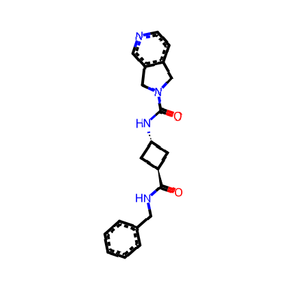 O=C(N[C@H]1C[C@H](C(=O)NCc2ccccc2)C1)N1Cc2ccncc2C1